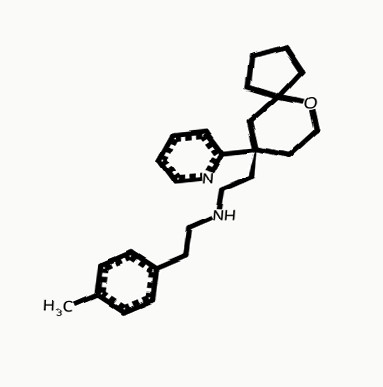 Cc1ccc(CCNCC[C@]2(c3ccccn3)CCOC3(CCCC3)C2)cc1